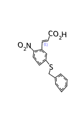 O=C(O)/C=C/c1cc(SCc2ccccc2)ccc1[N+](=O)[O-]